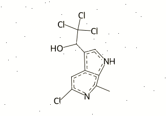 Cc1nc(Cl)cc2c(C(O)C(Cl)(Cl)Cl)c[nH]c12